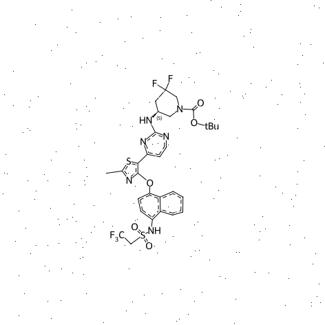 Cc1nc(Oc2ccc(NS(=O)(=O)CC(F)(F)F)c3ccccc23)c(-c2ccnc(N[C@@H]3CN(C(=O)OC(C)(C)C)CC(F)(F)C3)n2)s1